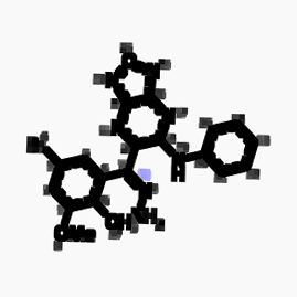 COc1cc(Br)cc(/C(=N\N)c2nc3nonc3nc2Nc2ccccc2)c1O